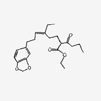 CCCC(=O)C(CCC(=CCCc1ccc2c(c1)OCO2)CC)C(=O)OCC